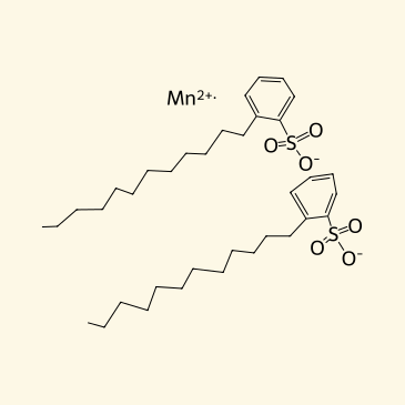 CCCCCCCCCCCCc1ccccc1S(=O)(=O)[O-].CCCCCCCCCCCCc1ccccc1S(=O)(=O)[O-].[Mn+2]